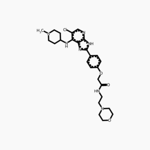 CN1CCC(Nc2c(Cl)cnc3[nH]c(-c4ccc(OCC(=O)NCCN5CCOCC5)cc4)nc23)CC1